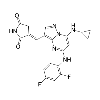 O=C1C/C(=C\c2cnn3c(NC4CC4)cc(Nc4ccc(F)cc4F)nc23)C(=O)N1